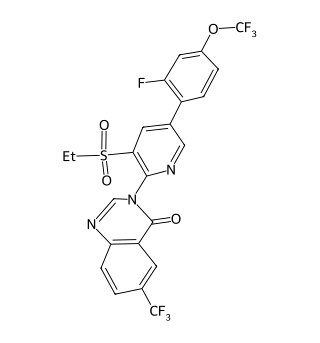 CCS(=O)(=O)c1cc(-c2ccc(OC(F)(F)F)cc2F)cnc1-n1cnc2ccc(C(F)(F)F)cc2c1=O